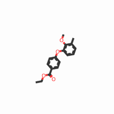 CCOC(=O)c1ccc(Oc2cccc(C)c2OC)cc1